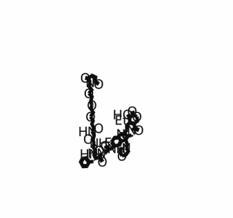 CC[C@@]1(O)C(=O)OCc2c1cc1n(c2=O)Cc2c-1nc1cc(F)c(NC(=O)CNC(=O)[C@H](Cc3ccccc3)NC(=O)CNC(=O)CNC(=O)CCOCCOCCOCCN3C(=O)C=CC3=O)cc1c2CN1CCOCC1